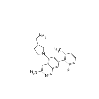 Cc1cccc(F)c1-c1cc(N2CCC(CN)C2)c2cc(N)ncc2c1